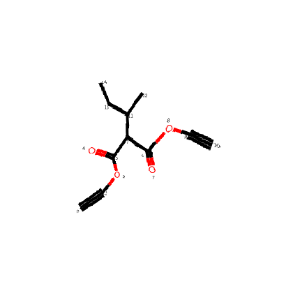 C#COC(=O)C(C(=O)OC#C)C(C)CC